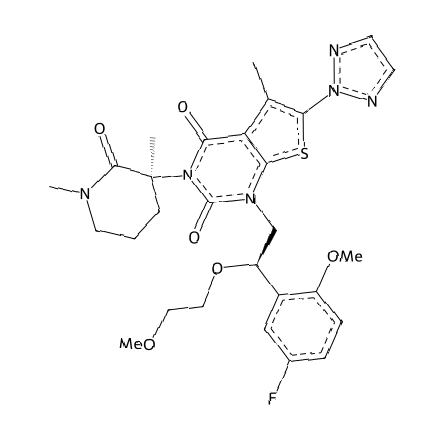 COCCO[C@@H](Cn1c(=O)n([C@@]2(C)CCCN(C)C2=O)c(=O)c2c(C)c(-n3nccn3)sc21)c1cc(F)ccc1OC